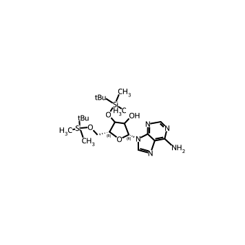 CC(C)(C)[Si](C)(C)OC[C@H]1O[C@@H](n2cnc3c(N)ncnc32)C(O)C1O[Si](C)(C)C(C)(C)C